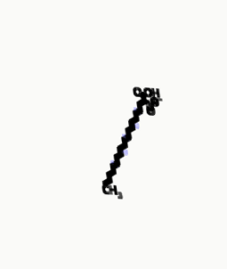 CCCCC/C=C/C/C=C/C/C=C/C/C=C/C/C=C/CC(C(=O)O)[N+](=O)[O-]